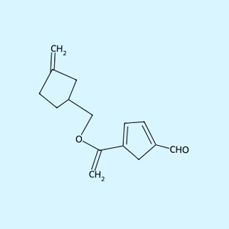 C=C1CCC(COC(=C)C2=CC=C(C=O)C2)C1